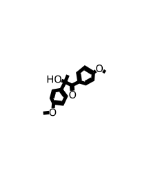 COc1ccc(C(=O)C(C)(O)c2ccc(OC)cc2)cc1